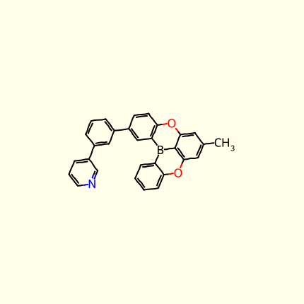 Cc1cc2c3c(c1)Oc1ccc(-c4cccc(-c5cccnc5)c4)cc1B3c1ccccc1O2